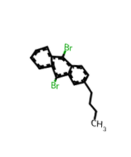 CCCCc1ccc2c(Br)c3ccccc3c(Br)c2c1